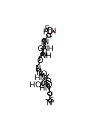 Cc1ncsc1-c1ccc([C@H](C)NC(=O)[C@@H]2C[C@@H](O)CN2C(=O)[C@@H](NC(=O)CN2CCN(CCCOCc3cc(C(=O)N[C@@H](C)Cn4ccc(-c5ccc(C#N)c(C(F)(F)F)c5)n4)n[nH]3)CC2)C(C)(C)C)cc1